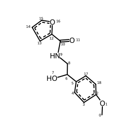 COc1ccc(C(O)CNC(=O)c2ccco2)cc1